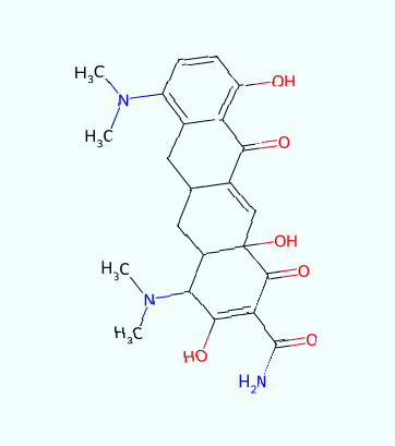 CN(C)c1ccc(O)c2c1CC1CC3C(N(C)C)C(O)=C(C(N)=O)C(=O)C3(O)C=C1C2=O